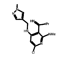 CNc1nc(Cl)cc(NCc2cnn(C)c2)c1C(=N)C(C)C